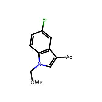 COCn1cc(C(C)=O)c2cc(Br)ccc21